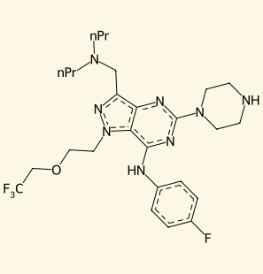 CCCN(CCC)Cc1nn(CCOCC(F)(F)F)c2c(Nc3ccc(F)cc3)nc(N3CCNCC3)nc12